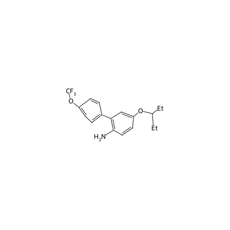 CCC(CC)Oc1ccc(N)c(-c2ccc(OC(F)(F)F)cc2)c1